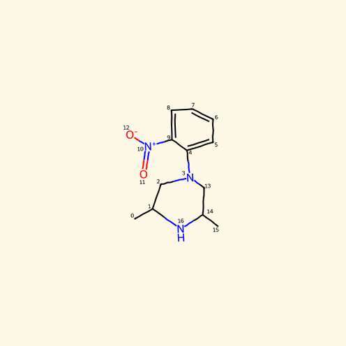 CC1CN(c2ccccc2[N+](=O)[O-])CC(C)N1